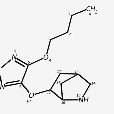 CCCCOc1nsnc1OC1CC2CNC1C2